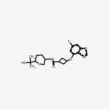 CC(C)(O)C1CCC(NC(=O)C2CC(Oc3cc(F)cc4scnc34)C2)CO1